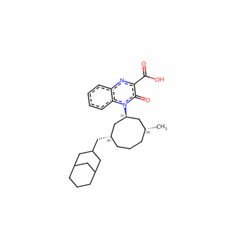 C[C@@H]1CCC[C@H](CC2CC3CCCC(C3)C2)C[C@@H](n2c(=O)c(C(=O)O)nc3ccccc32)C1